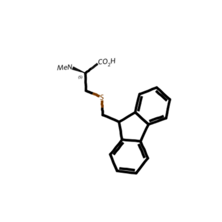 CN[C@H](CSCC1c2ccccc2-c2ccccc21)C(=O)O